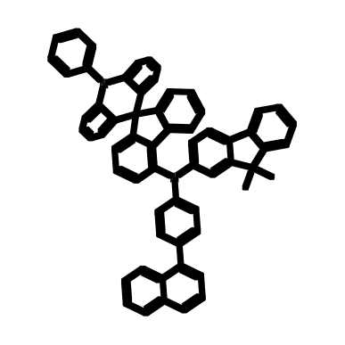 CC1(C)c2ccccc2-c2ccc(N(c3ccc(-c4cccc5ccccc45)cc3)c3cccc4c3-c3ccccc3C43c4ccccc4N(c4ccccc4)c4ccccc43)cc21